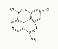 NC(=O)c1cccc(C(N)=O)c1-c1c(F)cc(Cl)cc1Br